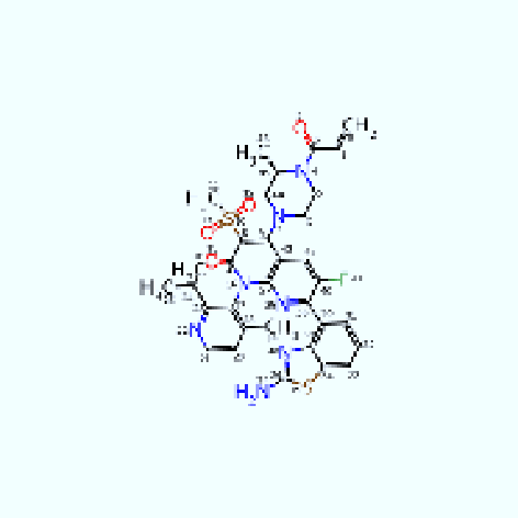 C=CC(=O)N1CCN(c2c(S(C)(=O)=O)c(=O)n(-c3c(C)ccnc3C(C)C)c3nc(-c4cccc5sc(N)nc45)c(F)cc23)C[C@H]1C